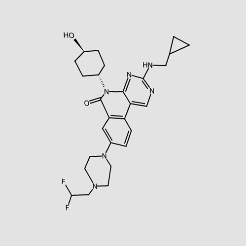 O=c1c2cc(N3CCN(CC(F)F)CC3)ccc2c2cnc(NCC3CC3)nc2n1[C@H]1CC[C@H](O)CC1